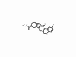 Nc1c2c(nn1C(=O)[C@H]1CCNc3ccc(F)cc31)CC[C@@H](NC(=O)O)C2